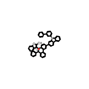 Cc1oc2ccccc2c1N=C(c1ccccc1)c1ccccc1-c1cc(-c2ccc3c4ccccc4n(-c4cccc(-c5ccccc5)c4)c3c2)ccc1N